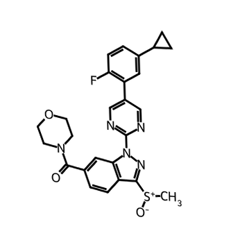 C[S+]([O-])c1nn(-c2ncc(-c3cc(C4CC4)ccc3F)cn2)c2cc(C(=O)N3CCOCC3)ccc12